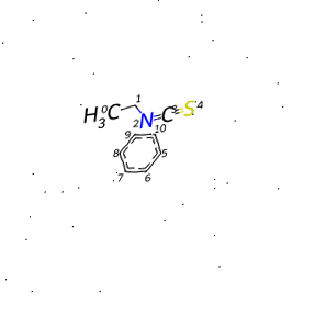 CCN=C=S.c1ccccc1